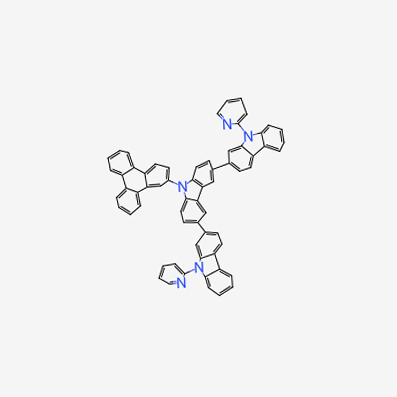 c1ccc(-n2c3ccccc3c3ccc(-c4ccc5c(c4)c4cc(-c6ccc7c8ccccc8n(-c8ccccn8)c7c6)ccc4n5-c4ccc5c6ccccc6c6ccccc6c5c4)cc32)nc1